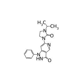 CC(C)N1CCN(c2cc3c(cn2)c(=O)[nH]n3-c2ccccc2)C1=O